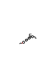 CCCC1CCC(F)(c2ccc(-c3ccc([C@H]4CC[C@H](CCC)CC4)cc3)cc2)CC1